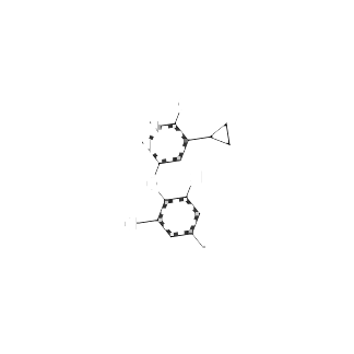 Clc1cc(I)cc(Cl)c1Oc1cc(C2CC2)c(Cl)nn1